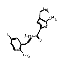 Cc1ccc(F)cc1CNC(=O)c1cc(CN)c(C)s1